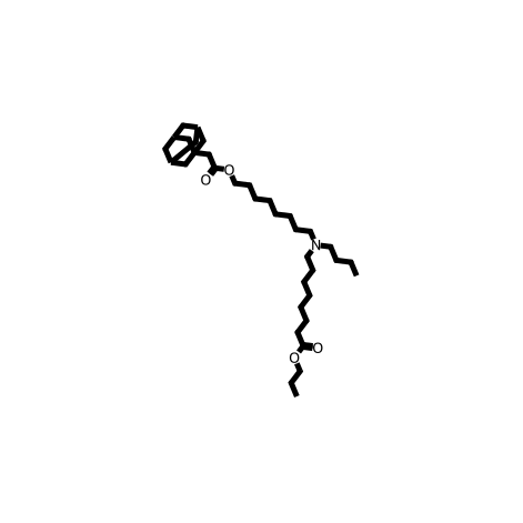 CCCCN(CCCCCCCCOC(=O)CC12CC3CC(CC(C3)C1)C2)CCCCCCCC(=O)OCCC